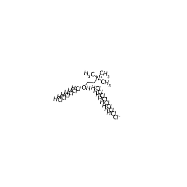 C[N+](C)(C)CCO.Cl.Cl.Cl.Cl.Cl.Cl.Cl.Cl.Cl.Cl.Cl.Cl.Cl.Cl.[Cl-]